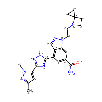 CCn1nc(C)cc1-c1n[nH]c(-c2cc(C(N)=O)cc3c2cnn3CCN2CCC23CC3)n1